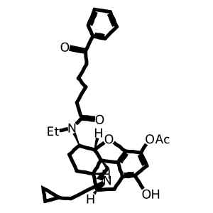 CCN(C(=O)CCCCC(=O)c1ccccc1)[C@@H]1CC[C@H]2[C@H]3Cc4c(O)cc(OC(C)=O)c5c4[C@@]2(CCN3CC2CC2)[C@H]1O5